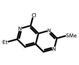 C[CH]c1cc2cnc(SC)nc2c(Cl)n1